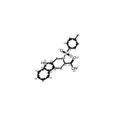 Cc1ccc(S(=O)(=O)N2Cc3[nH]c4ccccc4c3CC2C(=O)O)cc1